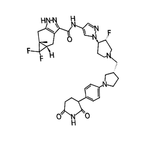 C[C@@]12Cc3[nH]nc(C(=O)Nc4cnn([C@@H]5CCN(C[C@@H]6CCN(c7ccc(C8CCC(=O)NC8=O)cc7)C6)C[C@H]5F)c4)c3C[C@@H]1C2(F)F